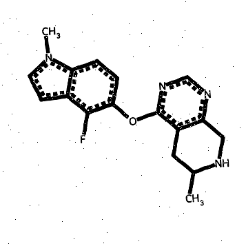 CC1Cc2c(ncnc2Oc2ccc3c(ccn3C)c2F)CN1